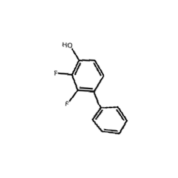 Oc1ccc(-c2ccccc2)c(F)c1F